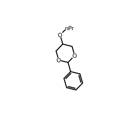 CCCOC1COC(c2ccccc2)OC1